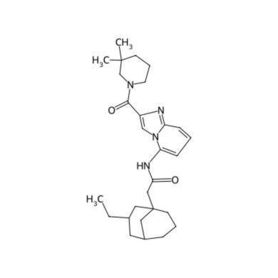 CCC1CC2CCCC(CC(=O)Nc3cccc4nc(C(=O)N5CCCC(C)(C)C5)cn34)(C1)C2